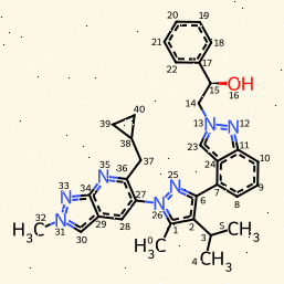 Cc1c(C(C)C)c(-c2cccc3nn(C[C@H](O)c4ccccc4)cc23)nn1-c1cc2cn(C)nc2nc1CC1CC1